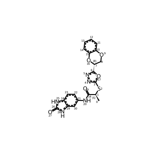 C[C@H](Sc1nnc([C@H]2COc3ccccc3O2)o1)C(=O)Nc1ccc2[nH]c(=O)[nH]c2c1